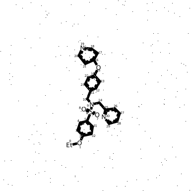 CCOc1ccc(S(=O)(=O)N(Cc2ccc(Oc3ccncc3)cc2)Cc2ccccn2)cc1